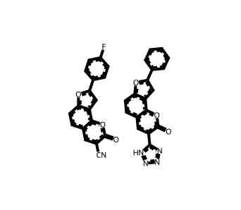 N#Cc1cc2ccc3oc(-c4ccc(F)cc4)cc3c2oc1=O.O=c1oc2c(ccc3oc(-c4ccccc4)cc32)cc1-c1nnn[nH]1